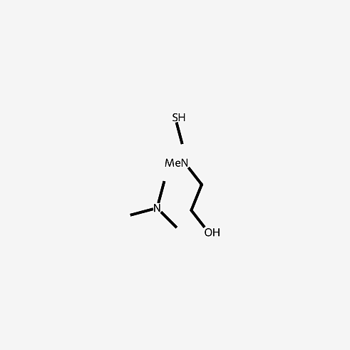 CN(C)C.CNCCO.CS